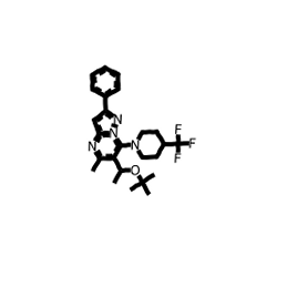 Cc1nc2cc(-c3ccccc3)nn2c(N2CCC(C(F)(F)F)CC2)c1C(C)OC(C)(C)C